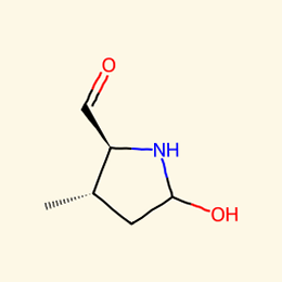 C[C@H]1CC(O)N[C@@H]1C=O